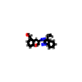 Cc1c(N[C@@H]([C]=O)Cc2ccccc2C=O)[nH]c2ccccc12